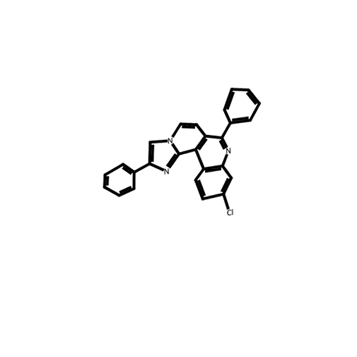 Clc1ccc2c(c1)nc(-c1ccccc1)c1ccn3cc(-c4ccccc4)nc3c12